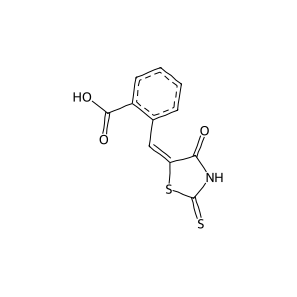 O=C1NC(=S)SC1=Cc1ccccc1C(=O)O